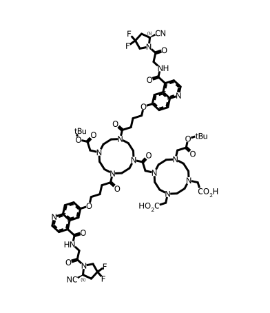 CC(C)(C)OC(=O)CN1CCN(CC(=O)O)CCN(CC(=O)O)CCN(CC(=O)N2CCN(C(=O)CCCOc3ccc4nccc(C(=O)NCC(=O)N5CC(F)(F)C[C@H]5C#N)c4c3)CCN(CC(=O)OC(C)(C)C)CCN(C(=O)CCCOc3ccc4nccc(C(=O)NCC(=O)N5CC(F)(F)C[C@H]5C#N)c4c3)CC2)CC1